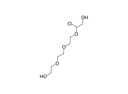 OCCOCCOCCOC(Cl)CO